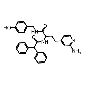 Nc1cc(CCC(NC(=O)C(c2ccccc2)c2ccccc2)C(=O)NCc2ccc(O)cc2)ccn1